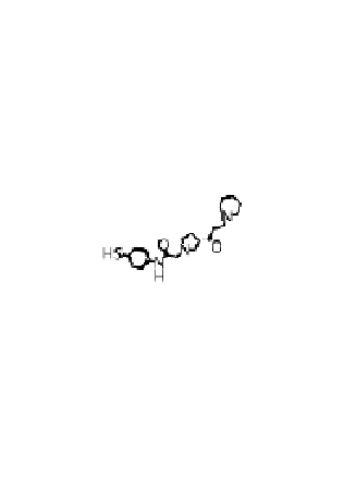 O=C(CN1CC[C@H](C(=O)CCN2CCCCC2)C1)Nc1ccc(S)cc1